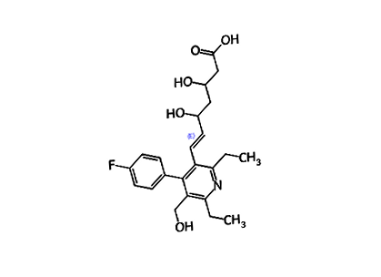 CCc1nc(CC)c(CO)c(-c2ccc(F)cc2)c1/C=C/C(O)CC(O)CC(=O)O